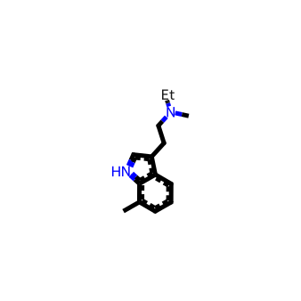 CCN(C)CCc1c[nH]c2c(C)cccc12